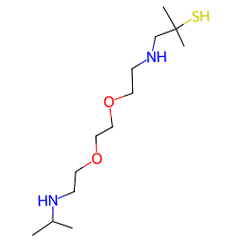 CC(C)NCCOCCOCCNCC(C)(C)S